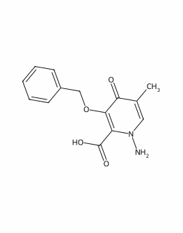 Cc1cn(N)c(C(=O)O)c(OCc2ccccc2)c1=O